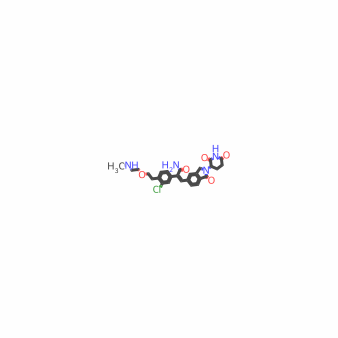 CNCCOCCc1ccc(C(=Cc2ccc3c(c2)CN(C2CCC(=O)NC2=O)C3=O)C(N)=O)cc1Cl